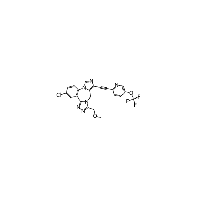 COCc1nnc2n1Cc1c(C#Cc3ccc(OC(F)(F)F)cn3)ncn1-c1ccc(Cl)cc1-2